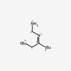 CC(C)(C)C/C(=N\CN)C(C)(C)C